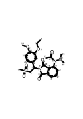 CCOc1cc(C(CS(C)(=O)=O)N2C(=O)c3cccc(N(C(C)=O)N(C)C)c3C2=O)ccc1OC